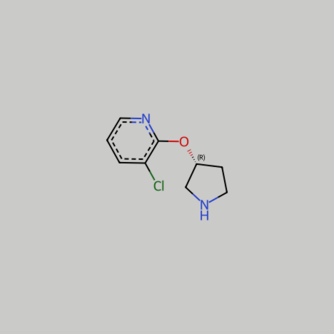 Clc1cccnc1O[C@@H]1CCNC1